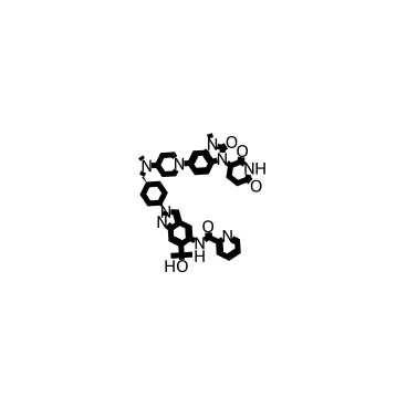 CN(C[C@H]1CC[C@H](n2cc3cc(NC(=O)c4ccccn4)c(C(C)(C)O)cc3n2)CC1)C1CCN(c2ccc3c(c2)n(C)c(=O)n3C2CCC(=O)NC2=O)CC1